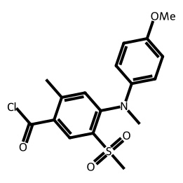 COc1ccc(N(C)c2cc(C)c(C(=O)Cl)cc2S(C)(=O)=O)cc1